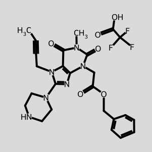 CC#CCn1c(N2CCNCC2)nc2c1c(=O)n(C)c(=O)n2CC(=O)OCc1ccccc1.O=C(O)C(F)(F)F